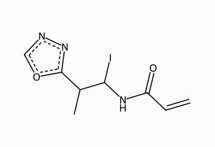 C=CC(=O)NC(I)C(C)c1nnco1